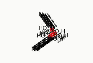 O=S(=O)(O)OOS(=O)(=O)O.O=S(=O)(O)OOS(=O)(=O)O.O=S(=O)(O)OOS(=O)(=O)O.O=S(=O)(O)OOS(=O)(=O)O.O=S(=O)(O)OOS(=O)(=O)O.[Na+].[Na+].[Na+].[Na+].[Na+].[Na+].[Na+].[Na+].[Na+].[Na+].[Na+].[Na+].[Na+].[Na+].[Na+].[Na+].[Na+].[Na+].[Na+].[Na+].[Na+].[Na+].[Na+].[Na+].[Na+].[Na+].[Na+].[Na+].[Na+].[Na+].[Na+].[Na+].[Na+].[Na+].[Na+].[Na+].[Na+]